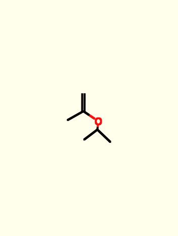 C=C(C)OC(C)C